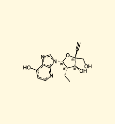 C#C[C@]1(CO)O[C@@H](n2cnc3c(O)ccnc32)[C@@H](CC)[C@@H]1O